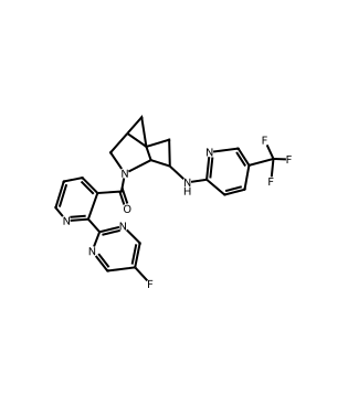 O=C(c1cccnc1-c1ncc(F)cn1)N1CC2CC23CC(Nc2ccc(C(F)(F)F)cn2)C13